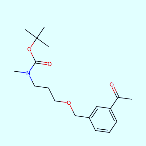 CC(=O)c1cccc(COCCCN(C)C(=O)OC(C)(C)C)c1